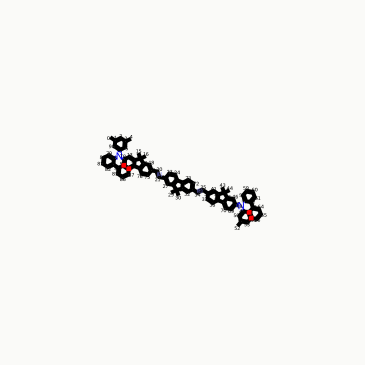 Cc1cc(C)cc(N(c2ccc3c(c2)C(C)(C)c2cc(/C=C/c4ccc5c(c4)C(C)(C)c4cc(/C=C/c6ccc7c(c6)C(C)(C)c6cc(N(c8cc(C)cc(C)c8)c8ccccc8-c8ccccc8)ccc6-7)ccc4-5)ccc2-3)c2ccccc2-c2ccccc2)c1